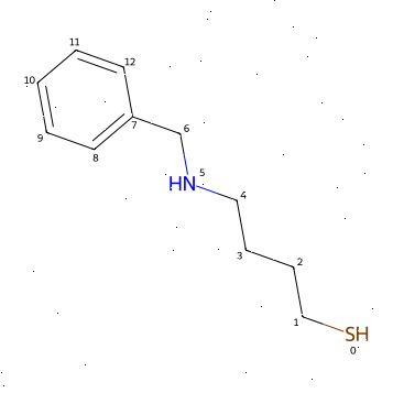 SCCCCNCc1ccccc1